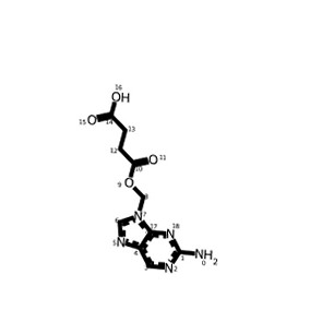 Nc1ncc2ncn(COC(=O)CCC(=O)O)c2n1